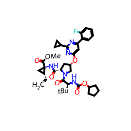 C=C[C@@H]1C[C@]1(NC(=O)[C@@H]1C[C@@H](Oc2cc(-c3ccccc3F)nc(C3CC3)n2)CN1C(=O)[C@@H](NC(=O)OC1CCCC1)C(C)(C)C)C(=O)OC